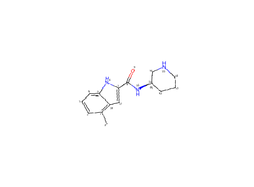 Cc1cccc2[nH]c(C(=O)N[C@@H]3CCCNC3)cc12